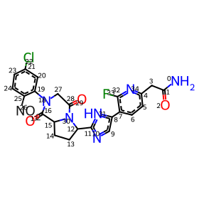 NC(=O)Cc1ccc(-c2cnc(C3CCC4C(=O)N(c5cc(Cl)ccc5[N+](=O)[O-])CC(=O)N43)[nH]2)c(F)n1